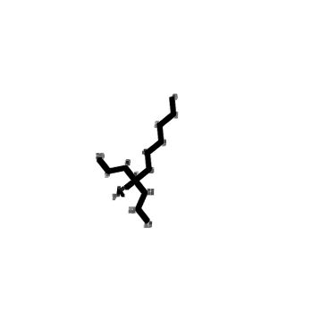 CCCCCC[C]([K])(CCC)CCC